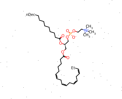 CC/C=C\C/C=C\C/C=C\C/C=C\CCCCC(=O)OC[C@H](COP(=O)([O-])OCC[N+](C)(C)C)OC(=O)CCCCCCCCCCCCCCCCCC